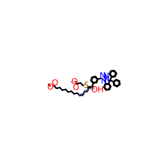 COC(=O)CCCCCCCC/C=C\C=C\[C@@H](SCCC(=O)OC)[C@@H](O)c1cccc(-c2nnn(C(c3ccccc3)(c3ccccc3)c3ccccc3)n2)c1